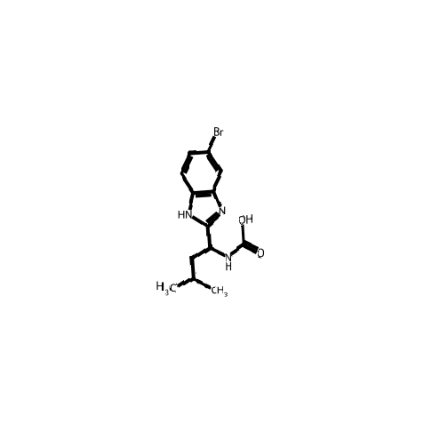 CC(C)CC(NC(=O)O)c1nc2cc(Br)ccc2[nH]1